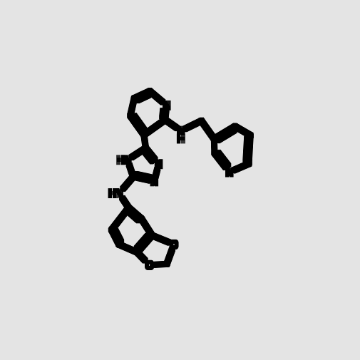 c1cncc(CNc2ncccc2-c2nnc(Nc3ccc4c(c3)OCO4)[nH]2)c1